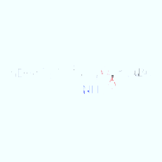 CCCCCCCCCCCCCCCCCCOC(=O)CCC(C)(C)C.N